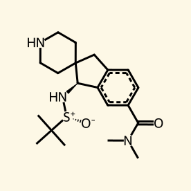 CN(C)C(=O)c1ccc2c(c1)[C@@H](N[S@+]([O-])C(C)(C)C)C1(CCNCC1)C2